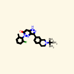 BC(B)(B)N1CCc2ccc(-c3n[nH]c4cc(=O)n(-c5c(C)cccc5F)nc34)cc2C1